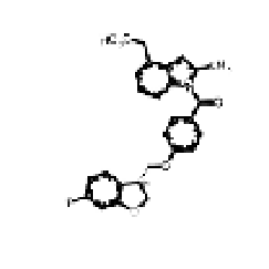 Cc1cc2c(CC(=O)O)cccc2n1C(=O)c1ccc(OC[C@@H]2COc3cc(F)ccc32)cc1